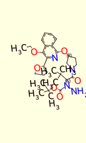 CCOc1c(C2=CCCO2)nc(O[C@@H]2CCN(C(=O)[C@@H](N(N)C(=O)OC(C)(C)C)C(C)(C)C)C2)c2ccccc12